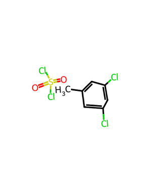 Cc1cc(Cl)cc(Cl)c1.O=S(=O)(Cl)Cl